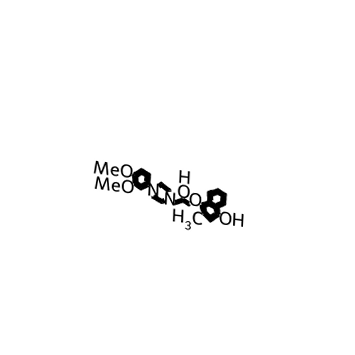 COc1ccc(N2CCN(CC(O)COc3c(C)cc(O)c4ccccc34)CC2)cc1OC